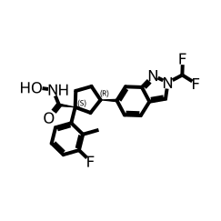 Cc1c(F)cccc1[C@]1(C(=O)NO)CC[C@@H](c2ccc3cn(C(F)F)nc3c2)C1